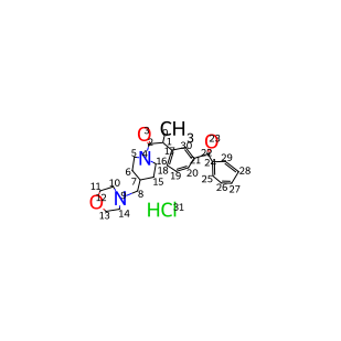 CC(C(=O)N1CCC(CN2CCOCC2)CC1)c1cccc(C(=O)c2ccccc2)c1.Cl